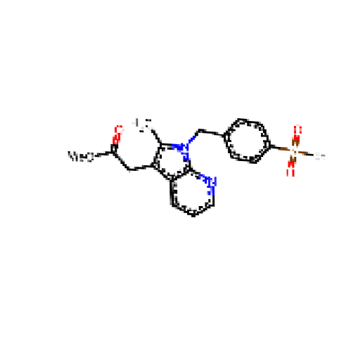 CCS(=O)(=O)c1ccc(Cn2c(C)c(CC(=O)OC)c3cccnc32)cc1